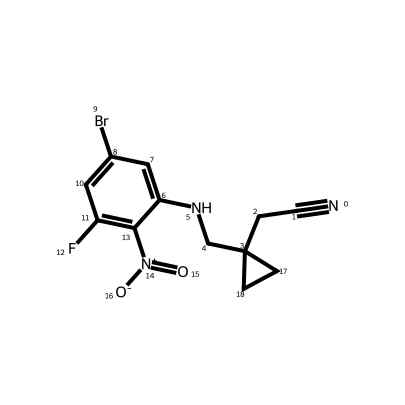 N#CCC1(CNc2cc(Br)cc(F)c2[N+](=O)[O-])CC1